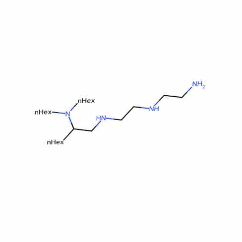 CCCCCCC(CNCCNCCN)N(CCCCCC)CCCCCC